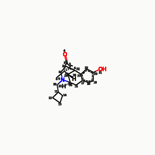 CC1CC(=O)C[C@]23CCN(CC4CCC4)[C@H](Cc4ccc(O)cc42)[C@H]13